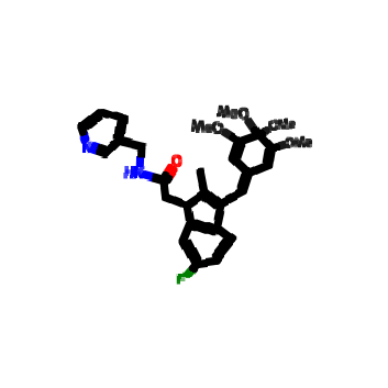 COC1=CC(=CC2=C(C)C(CC(=O)NCc3cccnc3)c3cc(F)ccc32)C=C(OC)C1(OC)OC